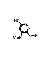 CNc1cc(C#N)cnc1NC(C)C